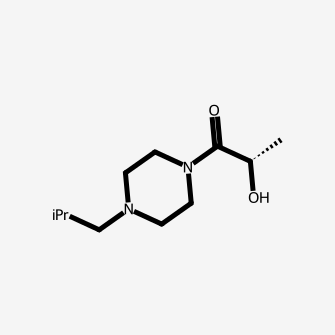 CC(C)CN1CCN(C(=O)[C@H](C)O)CC1